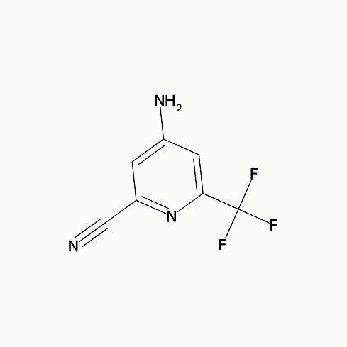 N#Cc1cc(N)cc(C(F)(F)F)n1